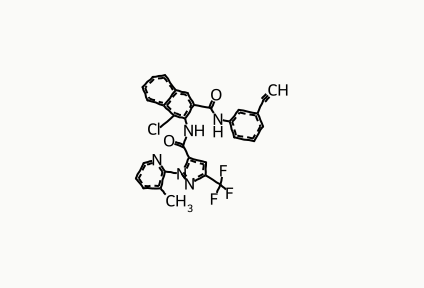 C#Cc1cccc(NC(=O)c2cc3ccccc3c(Cl)c2NC(=O)c2cc(C(F)(F)F)nn2-c2ncccc2C)c1